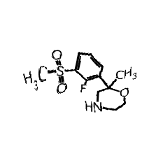 CC1(c2cccc(S(C)(=O)=O)c2F)CNCCO1